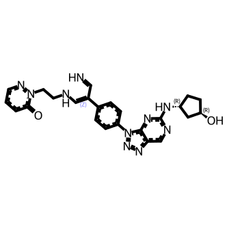 N=C/C(=C\NCCn1ncccc1=O)c1ccc(-n2nnc3cnc(N[C@@H]4CC[C@@H](O)C4)nc32)cc1